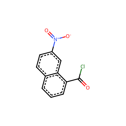 O=C(Cl)c1cccc2ccc([N+](=O)[O-])cc12